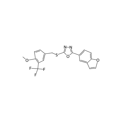 COc1ccc(CSc2nnc(-c3ccc4occc4c3)o2)cc1C(F)(F)F